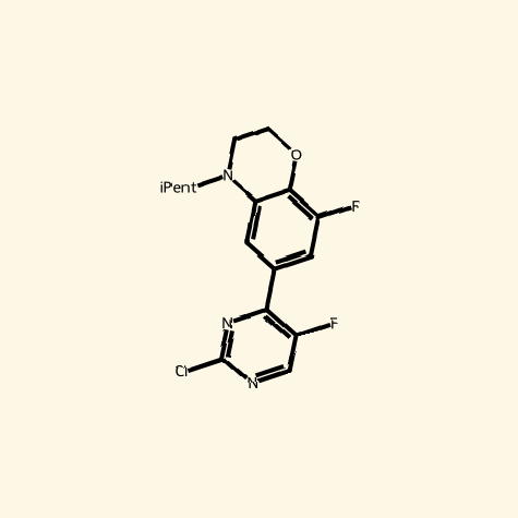 CCCC(C)N1CCOc2c(F)cc(-c3nc(Cl)ncc3F)cc21